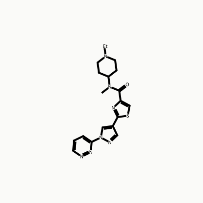 CCN1CCC(N(C)C(=O)c2csc(-c3cnn(-c4cccnn4)c3)n2)CC1